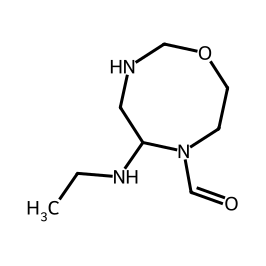 CCNC1CNCOCCN1C=O